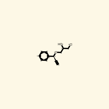 C#C[C@H](OCC(O)CCl)c1ccccc1